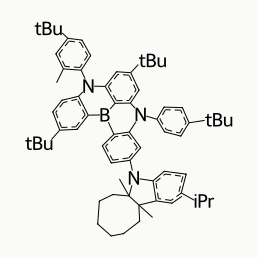 Cc1cc(C(C)(C)C)ccc1N1c2ccc(C(C)(C)C)cc2B2c3ccc(N4c5ccc(C(C)C)cc5C5(C)CCCCCCC45C)cc3N(c3ccc(C(C)(C)C)cc3)c3cc(C(C)(C)C)cc1c32